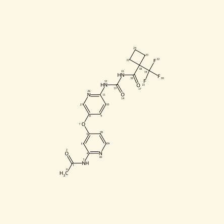 CC(=O)Nc1cc(Oc2ccc(NC(=O)NC(=O)C3(C(F)(F)F)CCC3)nc2)ccn1